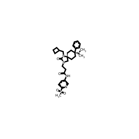 CN(C)[C@]1(c2ccccc2)CC[C@@]2(CC1)CN(CCC(=O)Nc1ccc(S(C)(=O)=O)nc1)C(=O)N2CC1CCC1